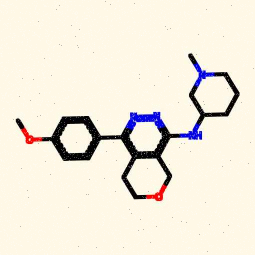 COc1ccc(-c2nnc(NC3CCCN(C)C3)c3c2CCOC3)cc1